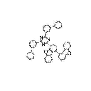 c1ccc(-c2cccc(-c3nc(-c4cccc(-c5ccccc5)c4)nc(-c4ccc(-c5cccc6oc7ccccc7c56)c5c4oc4ccccc45)n3)c2)cc1